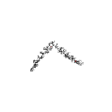 CC(=O)[O-].CCN(CC)CC.O.O=C(O)O.O=C(O)O.O=C([O-])O.O=C([O-])O.O=C([O-])[O-].O=C([O-])[O-].O=P([O-])([O-])[O-].[Ca+2].[Cs+].[Cs+].[F-].[K+].[K+].[K+].[Li+].[Mg+2].[Na+].[Na+].[Na+].[Na+].[OH-].[OH-].[OH-]